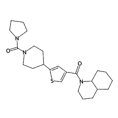 O=C(N1CCCC1)N1CCC(c2cc(C(=O)N3CCCC4CCCCC43)cs2)CC1